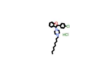 CCCCCCCCCN1CCN(c2c(-c3ccc(Cl)cc3)oc3ccccc23)CC1.Cl